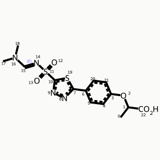 CC(Oc1ccc(-c2nnc(S(=O)(=O)/N=C/N(C)C)s2)cc1)C(=O)O